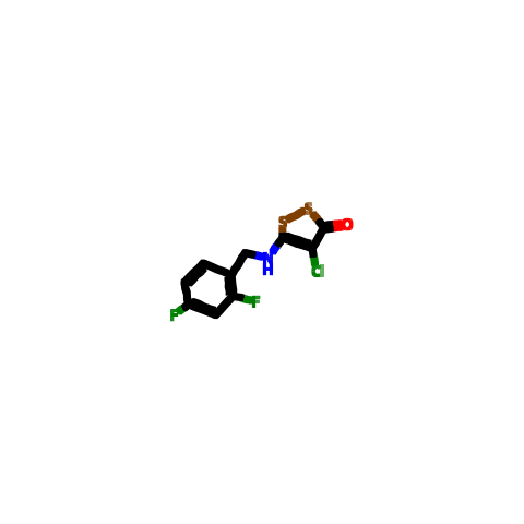 O=c1ssc(NCc2ccc(F)cc2F)c1Cl